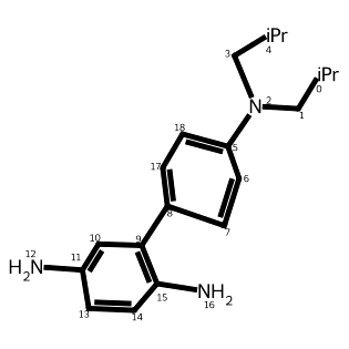 CC(C)CN(CC(C)C)c1ccc(-c2cc(N)ccc2N)cc1